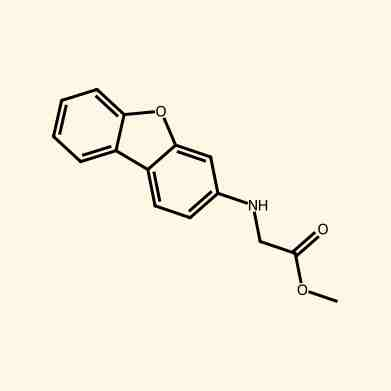 COC(=O)CNc1ccc2c(c1)oc1ccccc12